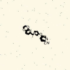 C[C@H](c1ccc2c(n1)OCCO2)N1CC[C@@H](Oc2ccc(C#N)nn2)C1